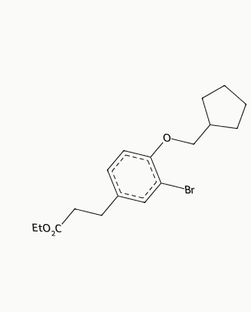 CCOC(=O)CCc1ccc(OCC2CCCC2)c(Br)c1